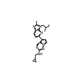 Cc1nc2ccc(-c3ccn4nc(NCC5CC5)ncc34)nc2n1CC(F)F